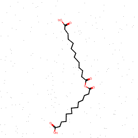 O=C(O)CCCCCCCCCCCC(=O)OC(=O)CCCCCCCCCCCC(=O)O